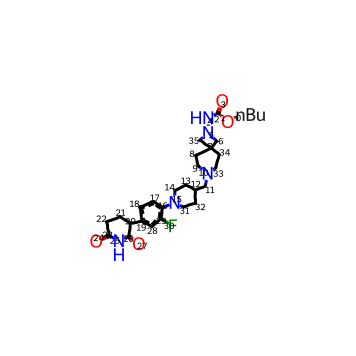 CCCCOC(=O)NN1CC2(CCN(CC3CCN(c4ccc(C5CCC(=O)NC5=O)cc4F)CC3)CC2)C1